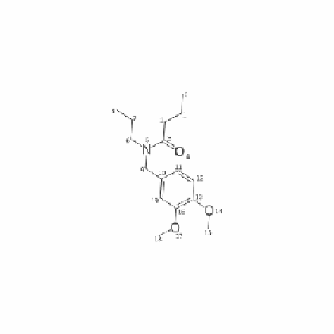 CCCC(=O)N(CCC)Cc1ccc(OC)c(OC)c1